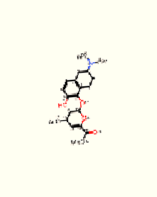 CCCN(CCC)C1CCc2c(ccc(O)c2OC2CC(OC(C)=O)C=C(C(=O)OC)O2)C1